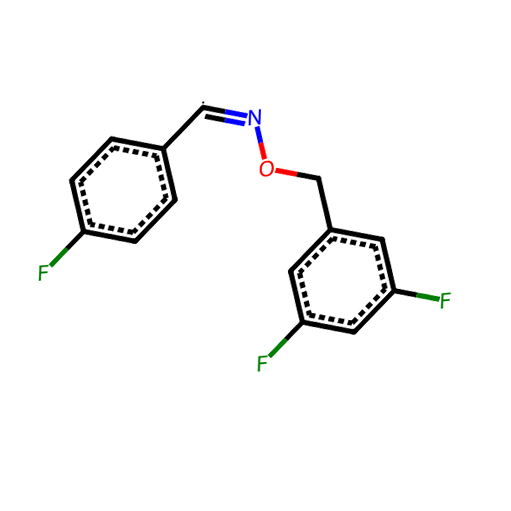 Fc1ccc(/[C]=N\OCc2cc(F)cc(F)c2)cc1